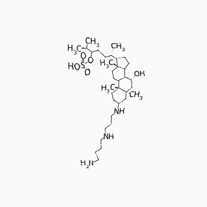 CC(C)C(CC[C@H](C)C1CCC2C3C(CC[C@@]21C)[C@@]1(C)CCC(NCCCNCCCCN)C[C@]1(C)C[C@H]3O)OS(=O)(=O)O